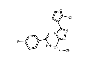 O=C(N[C@@H](CO)c1nc(-c2ccoc2Cl)no1)c1ccc(F)cc1